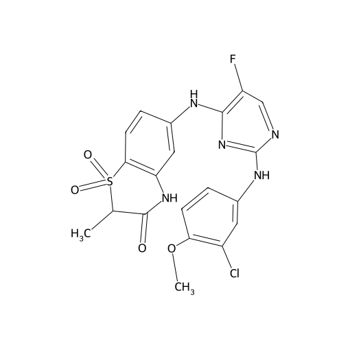 COc1ccc(Nc2ncc(F)c(Nc3ccc4c(c3)NC(=O)C(C)S4(=O)=O)n2)cc1Cl